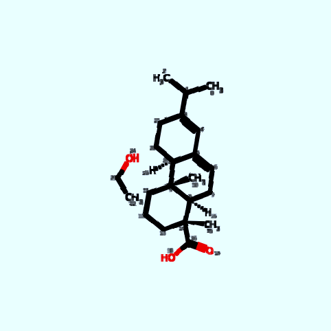 CC(C)C1=CC2=CC[C@@H]3[C@](C)(CCC[C@@]3(C)C(=O)O)[C@H]2CC1.CCO